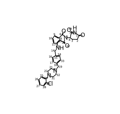 O=C1CCC(N2C(=O)c3cccc(NCc4ccc(CN5CCN(c6ccccc6Cl)CC5)cc4)c3C2=O)C(=O)N1